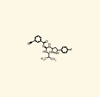 CC(C)CN/C(=N/C(=O)c1cccc(C#N)c1)NC1CC(c2ccc(F)cc2)NN1